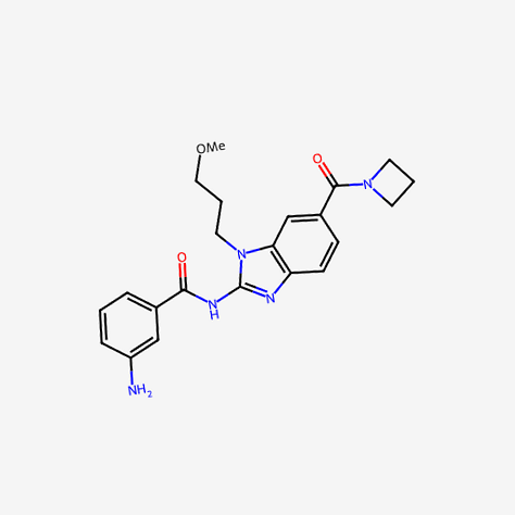 COCCCn1c(NC(=O)c2cccc(N)c2)nc2ccc(C(=O)N3CCC3)cc21